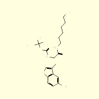 CC(C)(C)OC(=O)N[C@@H](Cc1c[nH]c2ccc(O)cc12)C(=O)NCCCCCCO